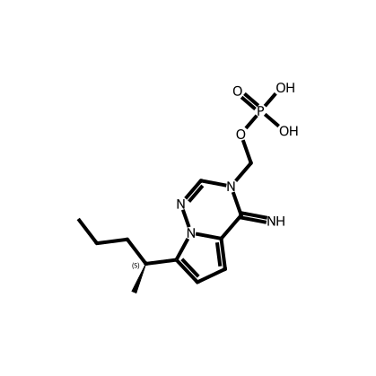 CCC[C@H](C)c1ccc2c(=N)n(COP(=O)(O)O)cnn12